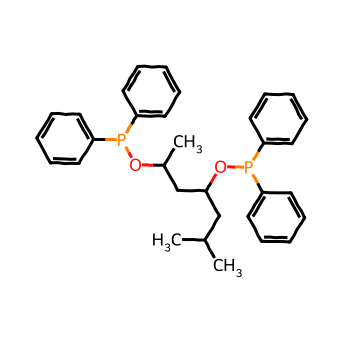 CC(C)CC(CC(C)OP(c1ccccc1)c1ccccc1)OP(c1ccccc1)c1ccccc1